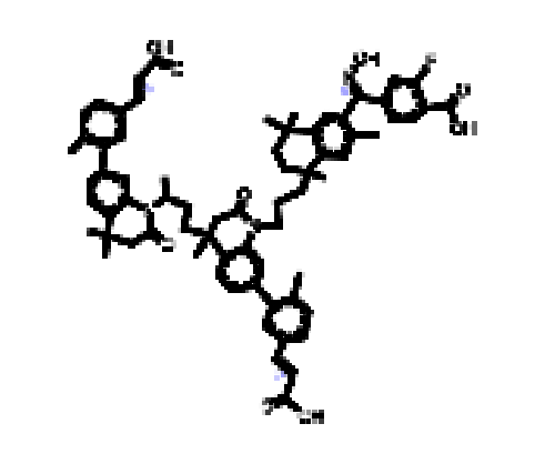 Cc1cc2c(cc1/C(=N/O)c1ccc(C(=O)O)c(F)c1)C(C)(C)CCC2(C)CCCN1C(=O)CC(C)(CCC(C)N2C(=O)CC(C)(C)c3ccc(-c4cc(/C=C/C(=O)O)ccc4C)cc32)c2ccc(-c3cc(/C=C/C(=O)O)ccc3C)cc21